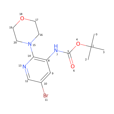 CC(C)(C)OC(=O)Nc1cc(Br)cnc1N1CCOCC1